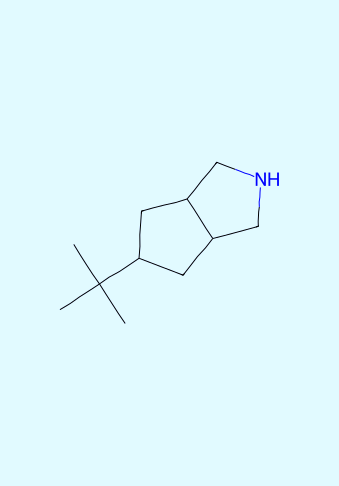 CC(C)(C)C1CC2CNCC2C1